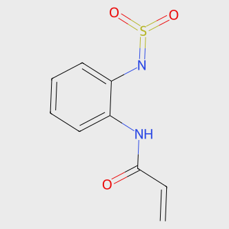 C=CC(=O)Nc1ccccc1N=S(=O)=O